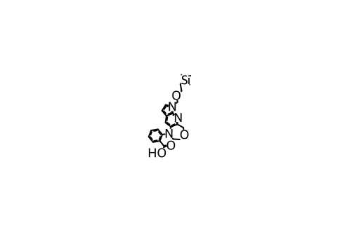 C[Si](C)(C)CCOCn1ccc2cc3c(nc21)COCCN3c1ccccc1C(=O)O